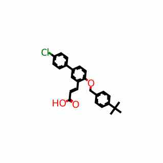 CC(C)(C)c1ccc(COc2ccc(-c3ccc(Cl)cc3)cc2C=CC(=O)O)cc1